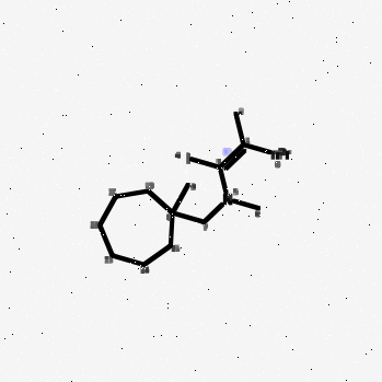 CCC/C(C)=C(/I)N(C)CC1(C)CCCCCC1